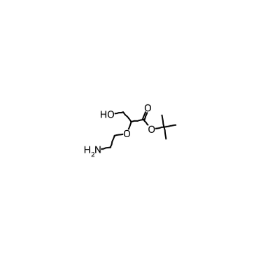 CC(C)(C)OC(=O)C(CO)OCCN